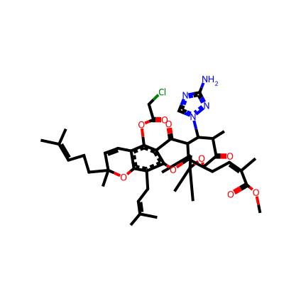 COC(=O)/C(C)=C\CC12OC(C)(C)C(C)C13Oc1c(CC=C(C)C)c4c(c(OC(=O)CCl)c1C(=O)C3C(n1cnc(N)n1)C(C)C2=O)C=CC(C)(CCC=C(C)C)O4